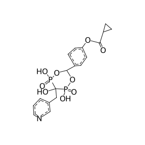 O=C(Oc1ccc(C2OP(=O)(O)C(O)(Cc3cccnc3)P(=O)(O)O2)cc1)C1CC1